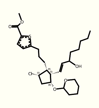 CCCCCC(O)C=C[C@H]1[C@@H](CCCc2ccc(C(=O)OC)s2)[C@@H](Cl)C[C@H]1OC1CCCCO1